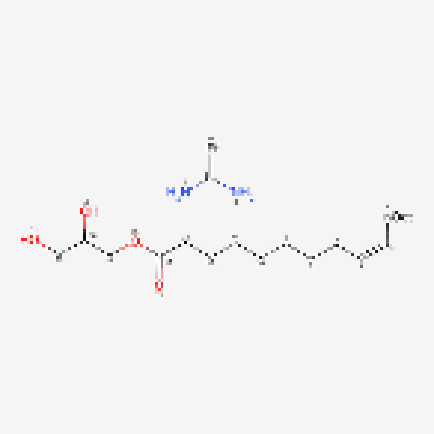 CCC(N)N.CCCCCCCC/C=C\CCCCCCCC(=O)OCC(O)CO